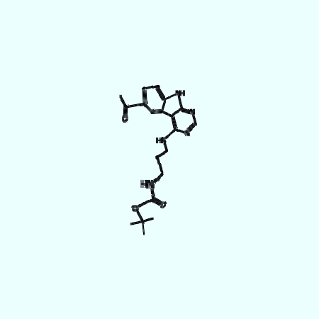 CC(=O)c1ccc2[nH]c3ncnc(NCCCNC(=O)OC(C)(C)C)c3c2c1